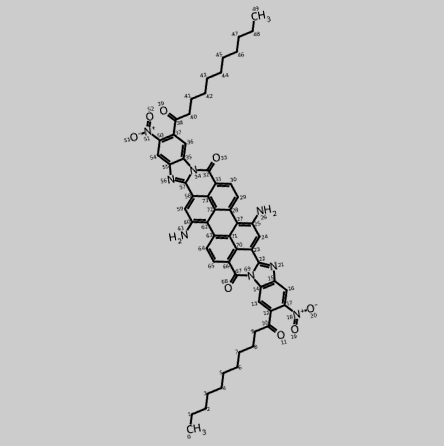 CCCCCCCCCCC(=O)c1cc2c(cc1[N+](=O)[O-])nc1c3cc(N)c4c5ccc6c(=O)n7c8cc(C(=O)CCCCCCCCCC)c([N+](=O)[O-])cc8nc7c7cc(N)c(c8ccc(c(=O)n21)c3c84)c5c67